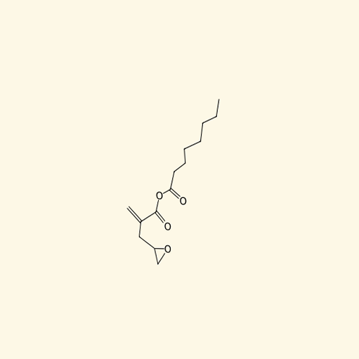 C=C(CC1CO1)C(=O)OC(=O)CCCCCCC